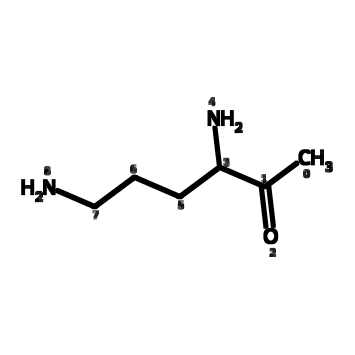 CC(=O)C(N)CCCN